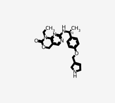 CCN1C(=O)OCc2cnc(N[C@@H](C)c3ccc(OCC4=CCNC4)cc3)nc21